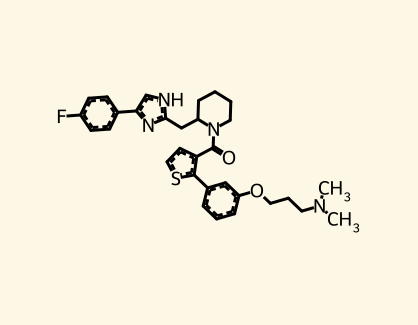 CN(C)CCCOc1cccc(-c2sccc2C(=O)N2CCCCC2Cc2nc(-c3ccc(F)cc3)c[nH]2)c1